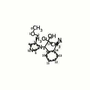 COCc1cncn1C(c1ccccc1C#N)C(C)(C)O